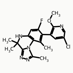 COc1ncc(Cl)cc1-c1c(F)cc2c(c1C)-n1c(C)nnc1C(C)(C)N2